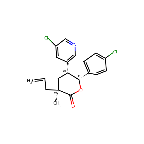 C=CC[C@@]1(C)C[C@H](c2cncc(Cl)c2)[C@H](c2ccc(Cl)cc2)OC1=O